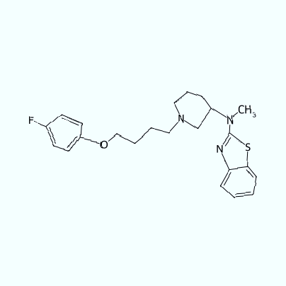 CN(c1nc2ccccc2s1)C1CCCN(CCCCOc2ccc(F)cc2)C1